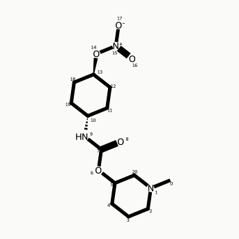 CN1CCCC(OC(=O)N[C@H]2CC[C@H](O[N+](=O)[O-])CC2)C1